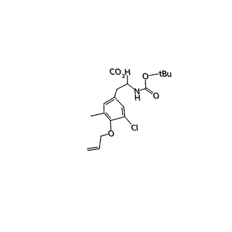 C=CCOc1c(C)cc(CC(NC(=O)OC(C)(C)C)C(=O)O)cc1Cl